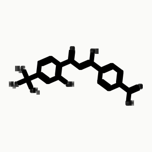 CC(C)(C)c1ccc(C(=O)C=C(O)c2ccc(C(=O)O)cc2)c(O)c1